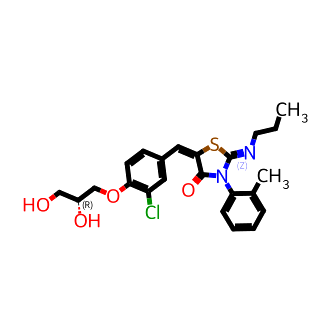 CCC/N=C1\SC(=Cc2ccc(OC[C@H](O)CO)c(Cl)c2)C(=O)N1c1ccccc1C